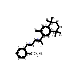 CCOC(=O)c1ccccc1/C=C/C=C(\C)c1cc2c(cc1C)C(C)(C)CCC2(C)C